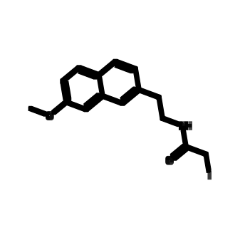 COc1ccc2ccc(CCNC(=O)CI)cc2c1